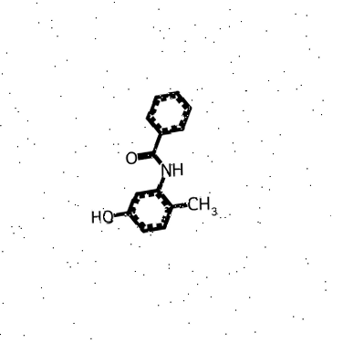 Cc1ccc(O)cc1NC(=O)c1ccccc1